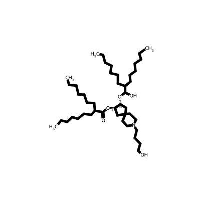 CCCCCCCC(CCCCCCC)C(=O)O[C@@H]1CC2(CCN(CCCCO)CC2)C[C@H]1OC(O)C(CCCCCCC)CCCCCCC